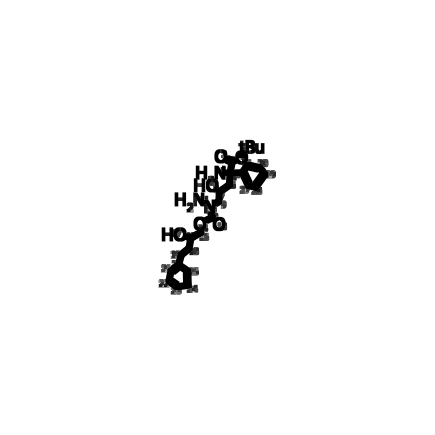 CC(C)(C)OC(=O)C(N)(CC(O)CN(N)C(=O)OCC(O)CCc1ccccc1)c1ccccc1